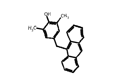 Cc1cc(Cc2c3ccccc3cc3ccccc23)cc(C)c1O